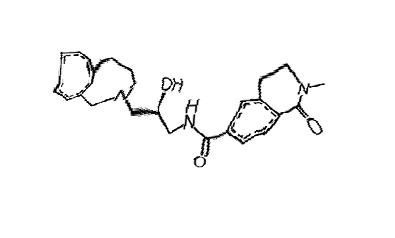 CN1CCc2cc(C(=O)NC[C@H](O)CN3CCc4ccccc4C3)ccc2C1=O